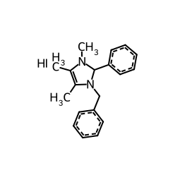 CC1=C(C)N(Cc2ccccc2)C(c2ccccc2)N1C.I